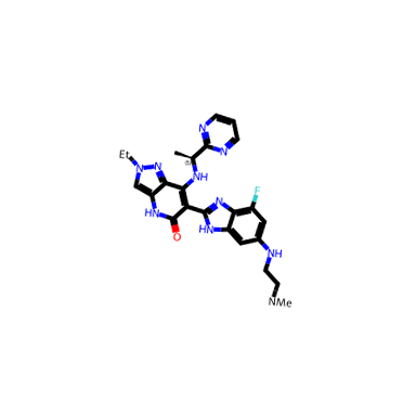 CCn1cc2[nH]c(=O)c(-c3nc4c(F)cc(NCCNC)cc4[nH]3)c(N[C@@H](C)c3ncccn3)c2n1